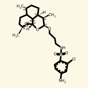 C[C@H]1[C@@H](OCCCNS(=O)(=O)c2ccc(N)cc2Cl)O[C@@H]2O[C@@]3(C)CCC4[C@H](C)CC[C@@H]1[C@]42OO3